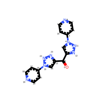 O=C(c1cn(-c2ccncc2)nn1)c1cn(-c2ccncc2)nn1